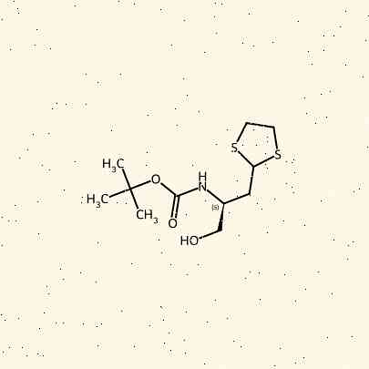 CC(C)(C)OC(=O)N[C@H](CO)CC1SCCS1